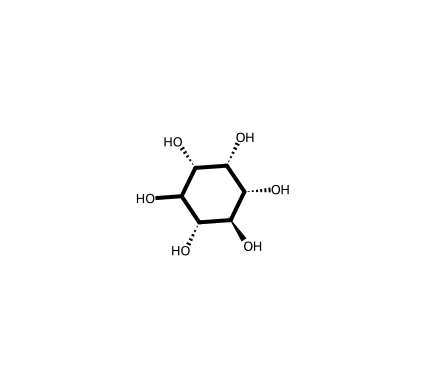 OC1[C@H](O)[C@H](O)[C@H](O)[C@@H](O)[C@@H]1O